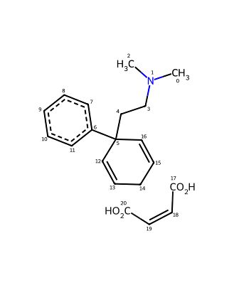 CN(C)CCC1(c2ccccc2)C=CCC=C1.O=C(O)/C=C\C(=O)O